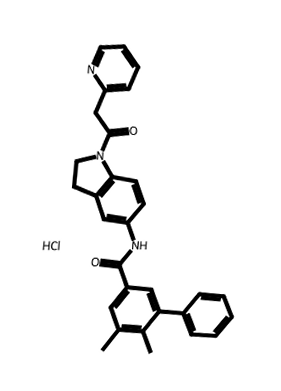 Cc1cc(C(=O)Nc2ccc3c(c2)CCN3C(=O)Cc2ccccn2)cc(-c2ccccc2)c1C.Cl